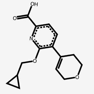 O=C(O)c1ccc(C2=CCOCC2)c(OCC2CC2)n1